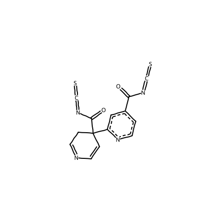 O=C(N=C=S)c1ccnc(C2(C(=O)N=C=S)C=CN=CC2)c1